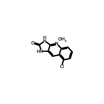 O.O=c1[nH]c2cc3c(Cl)cccc3nc2[nH]1